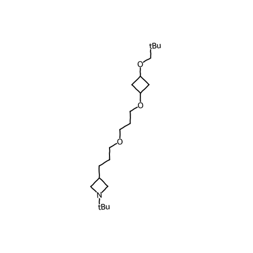 CC(C)(C)COC1CC(OCCCOCCCC2CN(C(C)(C)C)C2)C1